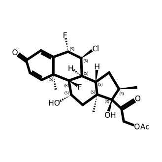 CC(=O)OCC(=O)[C@@]1(O)[C@H](C)C[C@H]2[C@@H]3[C@H](Cl)[C@@H](F)C4=CC(=O)C=C[C@]4(C)[C@@]3(F)[C@@H](O)C[C@@]21C